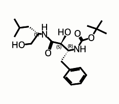 CC(C)C[C@@H](CO)NC(=O)[C@@H](O)[C@@H](Cc1ccccc1)NC(=O)OC(C)(C)C